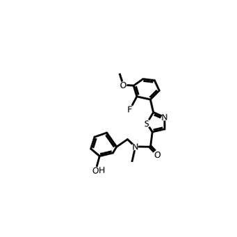 COc1cccc(-c2ncc(C(=O)N(C)Cc3cccc(O)c3)s2)c1F